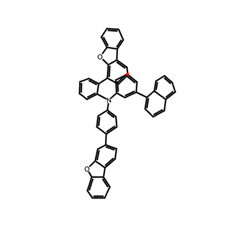 c1cc(-c2cccc3ccccc23)cc(N(c2ccc(-c3ccc4c(c3)oc3ccccc34)cc2)c2ccccc2-c2cccc3c2oc2ccccc23)c1